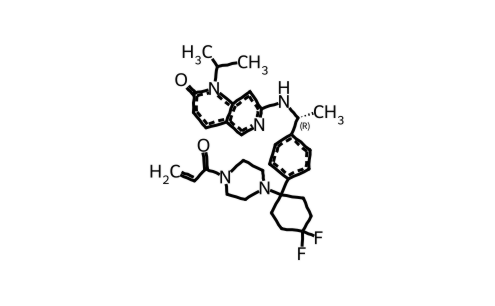 C=CC(=O)N1CCN(C2(c3ccc([C@@H](C)Nc4cc5c(ccc(=O)n5C(C)C)cn4)cc3)CCC(F)(F)CC2)CC1